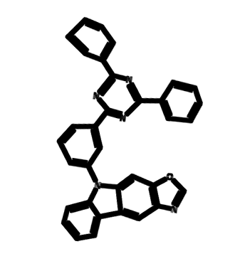 c1ccc(-c2nc(-c3ccccc3)nc(-c3cccc(-n4c5ccccc5c5cc6ncoc6cc54)c3)n2)cc1